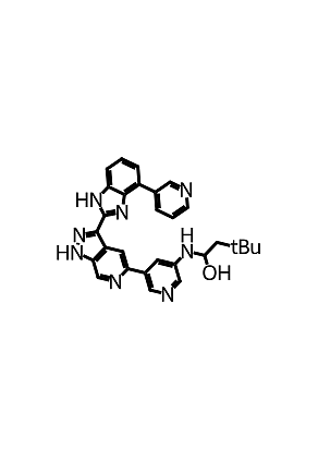 CC(C)(C)CC(O)Nc1cncc(-c2cc3c(-c4nc5c(-c6cccnc6)cccc5[nH]4)n[nH]c3cn2)c1